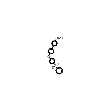 COc1ccc(C2=CC=C(Oc3ccc(S(=O)(=O)C4=CC=CC=CC4)cc3)CC2)cc1